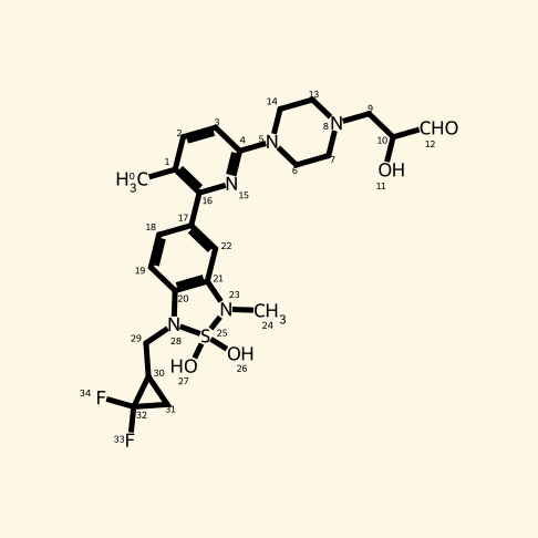 Cc1ccc(N2CCN(CC(O)C=O)CC2)nc1-c1ccc2c(c1)N(C)S(O)(O)N2CC1CC1(F)F